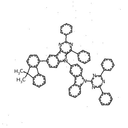 CC1(C)c2ccccc2-c2c(-c3ccc4c(c3)c3nc(-c5ccccc5)nc(-c5ccccc5)c3n4-c3ccc4c(c3)c3ccccc3n4-c3nc(-c4ccccc4)nc(-c4ccccc4)n3)cccc21